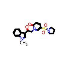 Cn1cc(C(=O)Cn2cc(S(=O)(=O)N3CCCC3)ccc2=O)c2ccccc21